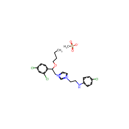 CCCCOC(Cn1cc[n+](CCNc2ccc(Cl)cc2)c1)c1ccc(Cl)cc1Cl.CS(=O)(=O)[O-]